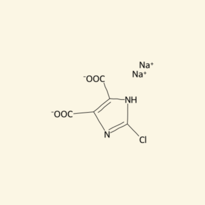 O=C([O-])c1nc(Cl)[nH]c1C(=O)[O-].[Na+].[Na+]